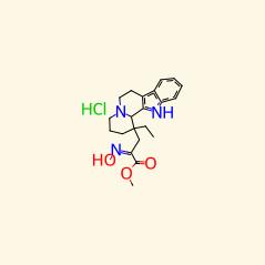 CCC1(CC(=NO)C(=O)OC)CCCN2CCc3c([nH]c4ccccc34)C21.Cl